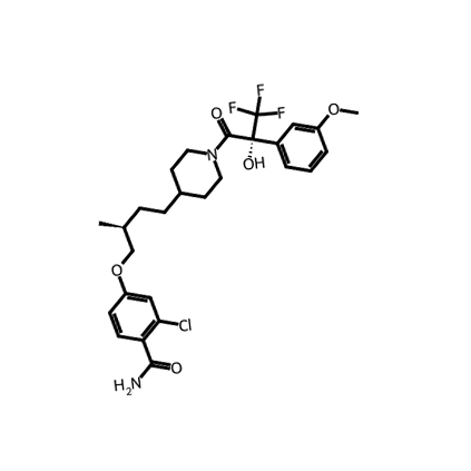 COc1cccc([C@@](O)(C(=O)N2CCC(CC[C@H](C)COc3ccc(C(N)=O)c(Cl)c3)CC2)C(F)(F)F)c1